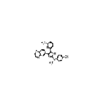 Cc1cccc(-c2[nH]c(N(C)c3ccc(C#N)cc3)nc2-c2ccc3nccnc3c2)n1